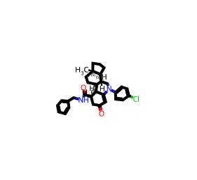 C[C@@]12CCC[C@H]1[C@@H]1CN(c3ccc(Cl)cc3)C3=CC(=O)CC(C(=O)NCc4ccccc4)[C@]3(C)[C@H]1CC2